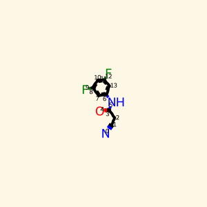 N#CCC(=O)Nc1cc(F)cc(F)c1